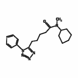 CN(C(=O)CCCCc1nnnn1-c1ccccc1)C1CCCCC1